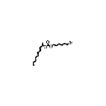 CCCCCCCCC(C)OC(=O)OCCCCCCBr